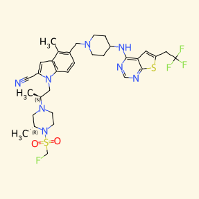 Cc1c(CN2CCC(Nc3ncnc4sc(CC(F)(F)F)cc34)CC2)ccc2c1cc(C#N)n2C[C@H](C)N1CCN(S(=O)(=O)CF)[C@H](C)C1